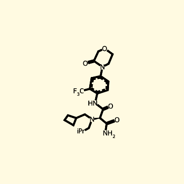 CC(C)CN(CC1CCC1)[C@H](C(N)=O)C(=O)Nc1ccc(N2CCOCC2=O)cc1C(F)(F)F